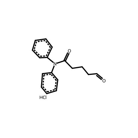 Cl.O=CCCCC(=O)N(c1ccccc1)c1ccccc1